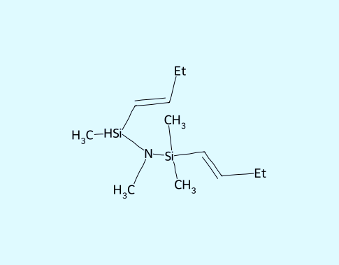 CC/C=C/[SiH](C)N(C)[Si](C)(C)/C=C/CC